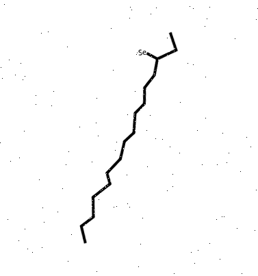 CCCCCCCCCCCCCC([Se])CC